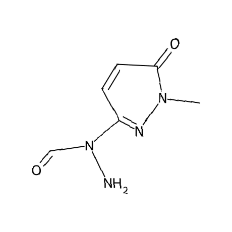 Cn1nc(N(N)C=O)ccc1=O